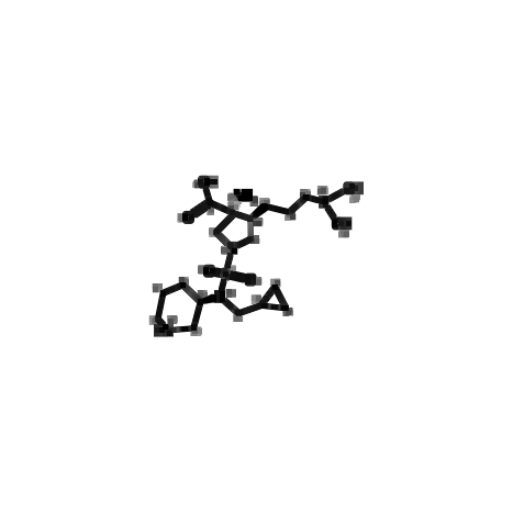 N[C@@]1(C(=O)O)CN(S(=O)(=O)N(CC2CC2)[C@@H]2CCCNC2)C[C@@H]1CCCB(O)O